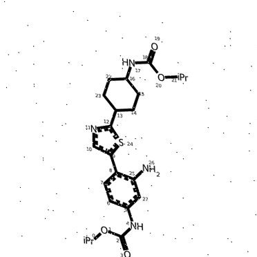 CC(C)OC(=O)Nc1ccc(-c2cnc(C3CCC(NC(=O)OC(C)C)CC3)s2)c(N)c1